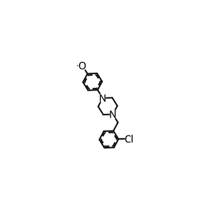 [O]c1ccc(N2CCN(Cc3ccccc3Cl)CC2)cc1